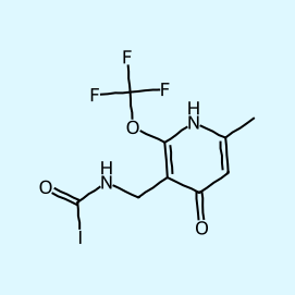 Cc1cc(=O)c(CNC(=O)I)c(OC(F)(F)F)[nH]1